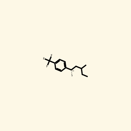 CCC(C)C[C@H](C)c1ccc(C(F)(F)F)cc1